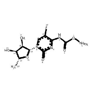 CCCCCCOC(=O)Nc1nc(=O)n([C@@H]2O[C@H](C)[C@@H](O)[C@H]2O)cc1F